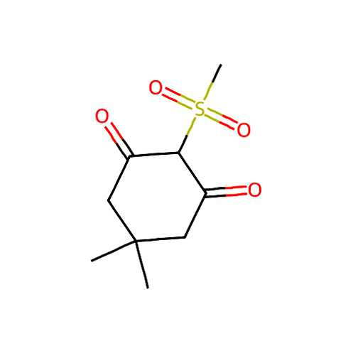 CC1(C)CC(=O)C(S(C)(=O)=O)C(=O)C1